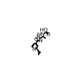 CC(NC(=O)O)c1noc(-c2ccnc(C3CC3)c2)n1